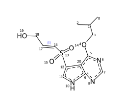 CC(C)COc1ncnc2[nH]cc(S(=O)(=O)/C=C/CO)c12